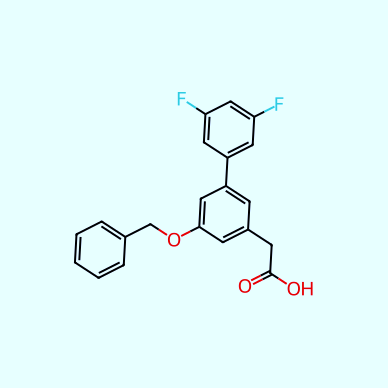 O=C(O)Cc1cc(OCc2ccccc2)cc(-c2cc(F)cc(F)c2)c1